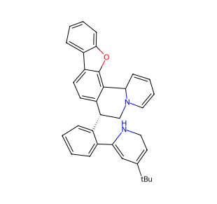 CC(C)(C)C1=CCNC(c2ccccc2[C@H]2CN3C=CC=CC3c3c2ccc2c3oc3ccccc32)=C1